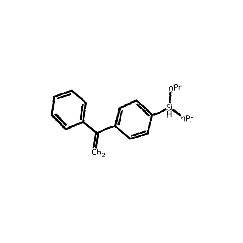 C=C(c1ccccc1)c1ccc([SiH](CCC)CCC)cc1